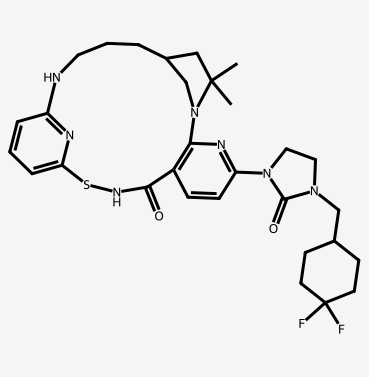 CC1(C)CC2CCCNc3cccc(n3)SNC(=O)c3ccc(N4CCN(CC5CCC(F)(F)CC5)C4=O)nc3N1C2